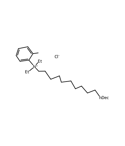 CCCCCCCCCCCCCCCCCCCC[N+](CC)(CC)c1ccccc1C.[Cl-]